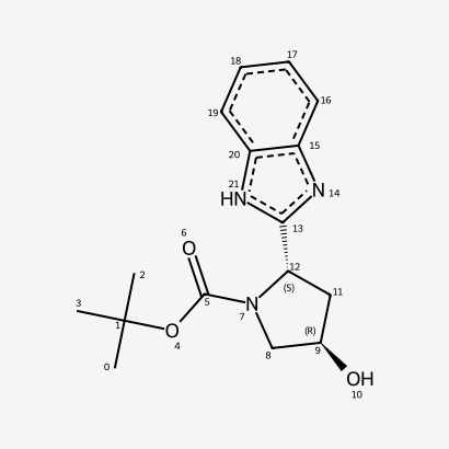 CC(C)(C)OC(=O)N1C[C@H](O)C[C@H]1c1nc2ccccc2[nH]1